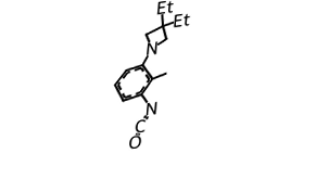 CCC1(CC)CN(c2cccc(N=C=O)c2C)C1